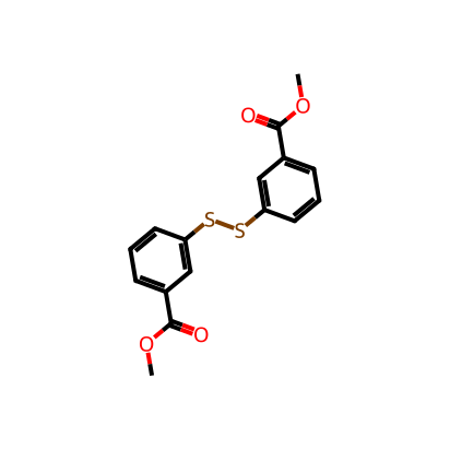 COC(=O)c1cccc(SSc2cccc(C(=O)OC)c2)c1